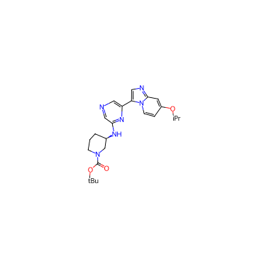 CC(C)Oc1ccn2c(-c3cncc(N[C@@H]4CCCN(C(=O)OC(C)(C)C)C4)n3)cnc2c1